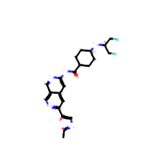 Cc1ncc(-c2cc3cc(NC(=O)C4CCC(NC(CF)CF)CC4)ncc3cn2)o1